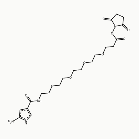 O=C(CCOCCOCCOCCOCCNC(=O)c1c[nH]c([N+](=O)[O-])c1)ON1C(=O)CCC1=O